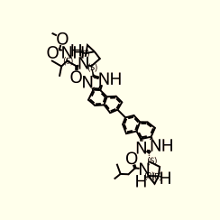 COC(=O)N[C@H](C(=O)N1[C@@H]2CC2C[C@H]1c1nc2ccc3cc(-c4ccc5c(ccc6[nH]c([C@@H]7C[C@H]8C[C@H]8N7C(=O)CC(C)C)nc65)c4)ccc3c2[nH]1)C(C)C